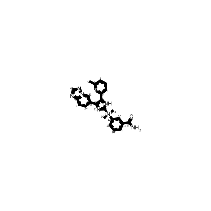 Cc1cccc(-c2[nH]c([N+](C)(C)c3cccc(C(N)=O)c3)nc2-c2ccc3ncnn3c2)n1